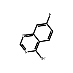 CC(C)c1ncnc2cc(F)ccc12